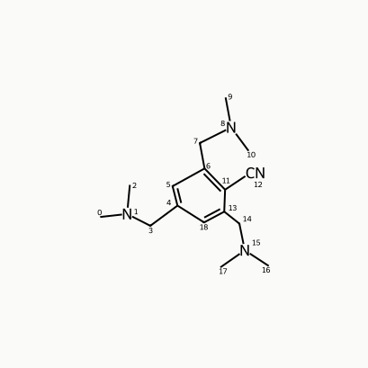 CN(C)Cc1cc(CN(C)C)c(C#N)c(CN(C)C)c1